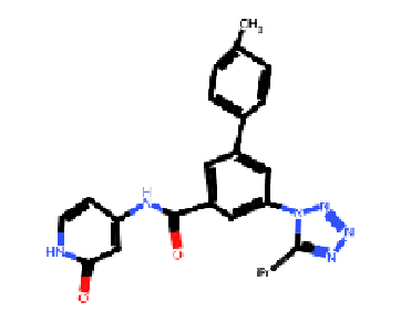 Cc1ccc(-c2cc(C(=O)Nc3cc[nH]c(=O)c3)cc(-n3nnnc3C(C)C)c2)cc1